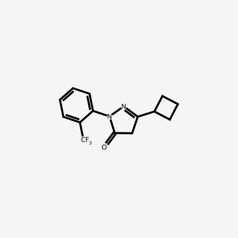 O=C1CC(C2CCC2)=NN1c1ccccc1C(F)(F)F